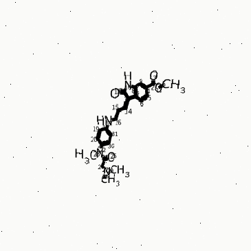 COC(=O)c1ccc2c(c1)NC(=O)/C2=C\CCNc1ccc(N(C)C(=O)CN(C)C)cc1